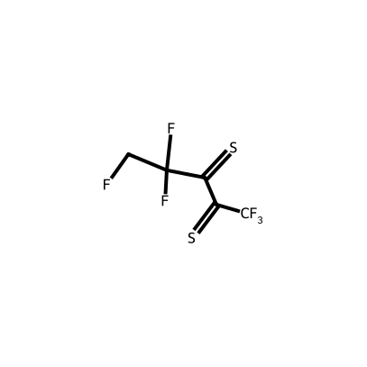 FCC(F)(F)C(=S)C(=S)C(F)(F)F